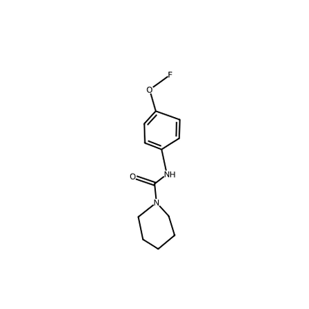 O=C(Nc1ccc(OF)cc1)N1CCCCC1